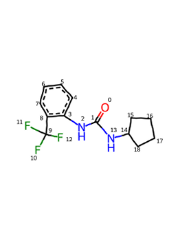 O=C(Nc1ccccc1C(F)(F)F)NC1CCCC1